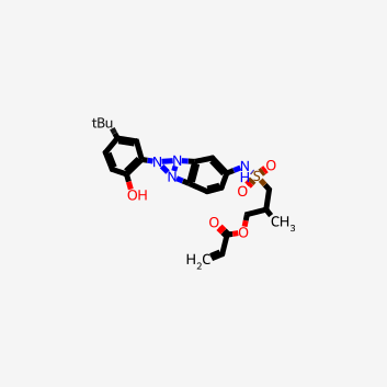 C=CC(=O)OCC(C)CS(=O)(=O)Nc1ccc2c(c1)n1n(-c3cc(C(C)(C)C)ccc3O)n21